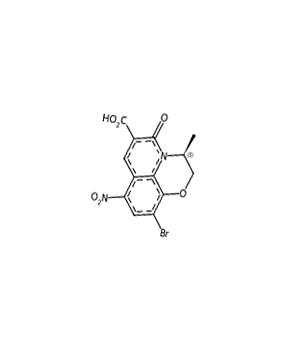 C[C@H]1COc2c(Br)cc([N+](=O)[O-])c3cc(C(=O)O)c(=O)n1c23